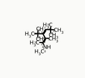 CN/C(C)=C(C)/C(=C\C(C)(C)C)C(C)(C)C